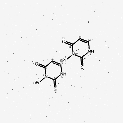 CCCn1c(=O)cc[nH]c1=S.CCCn1c(=O)cc[nH]c1=S